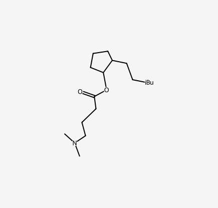 CCC(C)CCC1CCCC1OC(=O)CCCN(C)C